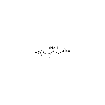 CCCCCCOS(=O)(=O)O.[NaH]